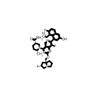 CCc1c(F)ccc2cc(O)cc(-c3ncc4c(N5C[C@@H](C(N)=O)CC[C@H]5C)nc(OC[C@@]56CCCN5C[C@H](F)C6)nc4c3F)c12